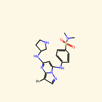 CC(C)c1cnn2c(Nc3ccc(S(=O)(=O)N(C)C)cc3)cc(NC3CCNC3)nc12